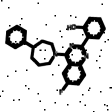 Oc1ccccc1-c1nc(N2CCCC(c3ccccc3)CC2)c2cc(F)ccc2n1